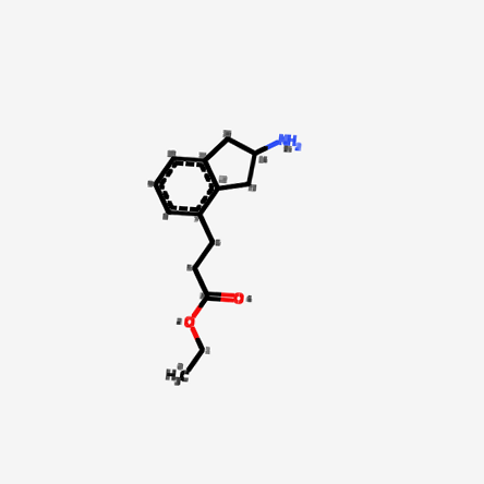 CCOC(=O)CCc1cccc2c1CC(N)C2